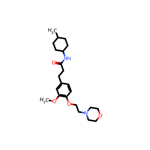 COc1cc(CCC(=O)NC2CCC(C)CC2)ccc1OCCN1CCOCC1